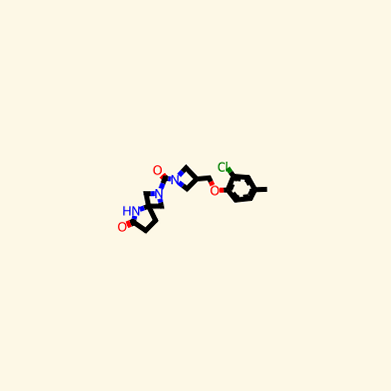 Cc1ccc(OCC2CN(C(=O)N3CC4(CCC(=O)N4)C3)C2)c(Cl)c1